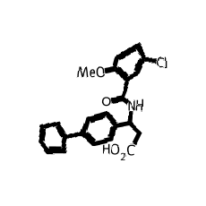 COc1ccc(Cl)cc1C(=O)NC(CC(=O)O)c1ccc(-c2ccccc2)cc1